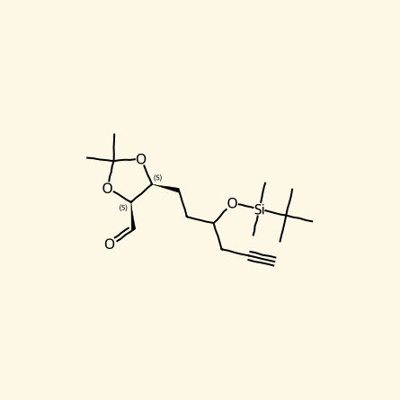 C#CCC(CC[C@@H]1OC(C)(C)O[C@@H]1C=O)O[Si](C)(C)C(C)(C)C